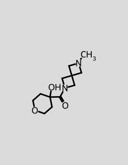 CN1CC2(C1)CN(C(=O)C1(O)CCOCC1)C2